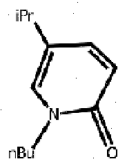 CCCCn1cc(C(C)C)ccc1=O